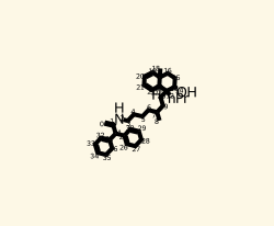 C=C(NCCCCC(C)CCC1(CCC)C(O)CCC2(C)C=CC=C[C@H]21)C(C1=CCCC=C1)C1=CC=CCC1